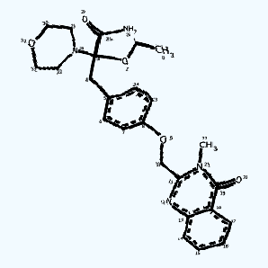 CCOC(Cc1ccc(OCc2nc3ccccc3c(=O)n2C)cc1)(C(N)=O)N1CCOCC1